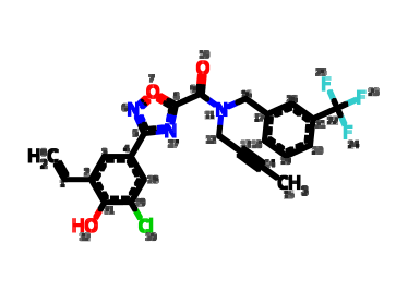 C=Cc1cc(-c2noc(C(=O)N(CC#CC)Cc3cccc(C(F)(F)F)c3)n2)cc(Cl)c1O